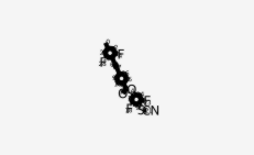 Cc1cc(F)c(C#Cc2ccc(C(=O)Oc3cc(F)c(SC#N)c(F)c3)cc2)c(F)c1